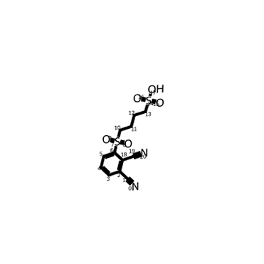 N#Cc1cccc(S(=O)(=O)CCCCS(=O)(=O)O)c1C#N